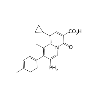 CC1=CC=C(c2c(P)cn3c(=O)c(C(=O)O)cc(C4CC4)c3c2C)CC1